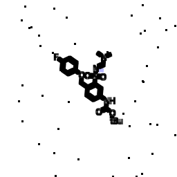 CN(C)/C=N/S(=O)(=O)c1cc(NC(=O)OC(C)(C)C)ccc1COc1ccc(F)cc1